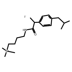 CC(C)Cc1ccc(C(C)C(=O)NCCCC[N+](C)(C)C)cc1.[I-]